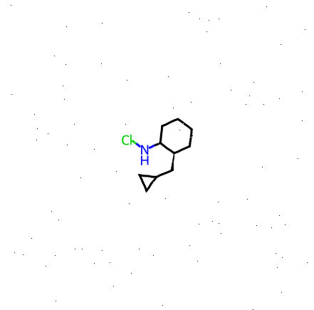 ClNC1CCCC[C@H]1CC1CC1